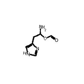 NC(Cc1c[nH]cn1)OC=O